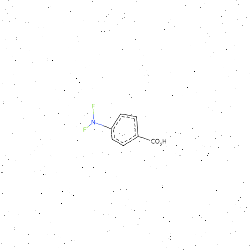 O=C(O)c1ccc(N(F)F)cc1